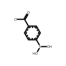 O=C(Cl)c1ccc(N(O)O)cc1